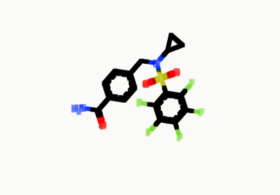 NC(=O)c1ccc(CN(C2CC2)S(=O)(=O)c2c(F)c(F)c(F)c(F)c2F)cc1